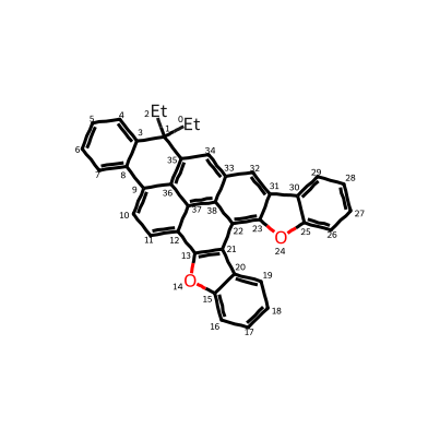 CCC1(CC)c2ccccc2-c2ccc3c4oc5ccccc5c4c4c5oc6ccccc6c5cc5cc1c2c3c54